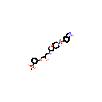 CS(=O)(=O)c1cccc(OCC(O)CNC2COC3(CCN(S(=O)(=O)c4ccc5[nH]ncc5c4)CC3)C2)c1